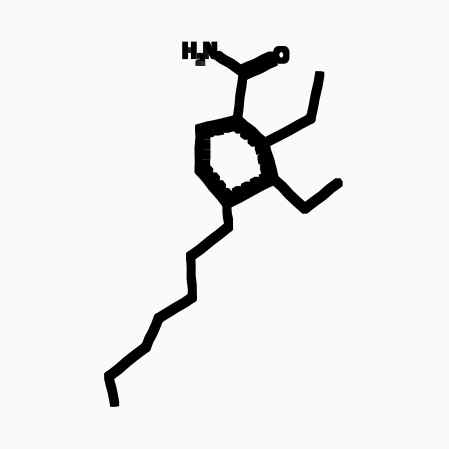 CCCCCCCc1ccc(C(N)=O)c(CC)c1CC